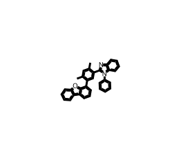 Cc1cc(C)c(-c2nc3ccccc3n2-c2ccccc2)cc1-c1cccc2c1oc1ccccc12